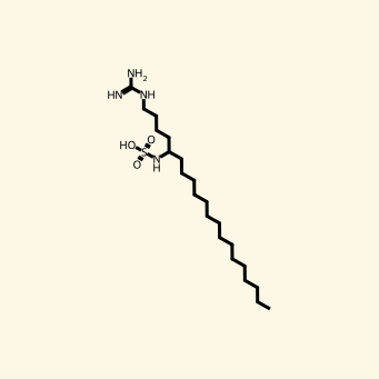 CCCCCCCCCCCCCCCC(CCCCNC(=N)N)NS(=O)(=O)O